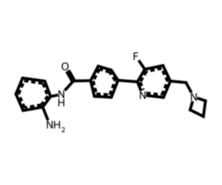 Nc1ccccc1NC(=O)c1ccc(-c2ncc(CN3CCC3)cc2F)cc1